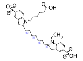 CCN1\C(=C/C=C/C=C/C=C/C2=[N+](CCCCCC(=O)O)c3ccc(S(=O)(=O)[O-])cc3C2)Cc2cc(S(=O)(=O)O)ccc21